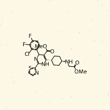 COC(=O)CN[C@H]1CC[C@H](C2=C(C(=O)OC)C(c3ccc(F)c(F)c3Cl)N=C(c3nccs3)N2)CC1